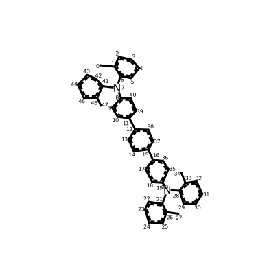 Cc1ccccc1N(c1ccc(-c2ccc(-c3ccc(N(c4ccccc4C)c4ccccc4C)cc3)cc2)cc1)c1ccccc1C